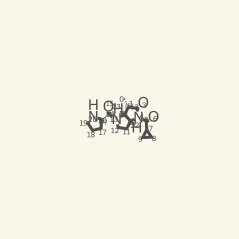 C[C@@H]1C(=O)N(C(=O)C2CC2)[C@H]2CCN(C(=O)[C@@H]3CCCN3)[C@H]12